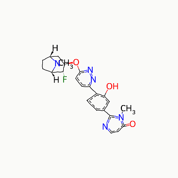 CN1[C@@H]2CC[C@H]1[C@@H](F)[C@H](Oc1ccc(-c3ccc(-c4nccc(=O)n4C)cc3O)nn1)C2